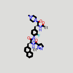 CCC(=O)N[C@H](Cc1ccc(NC(=O)[C@H](Cc2ccc3ccccc3c2)NC(=O)c2ccnn2CC)c(F)c1)C(=O)N1CCN(C)CC1